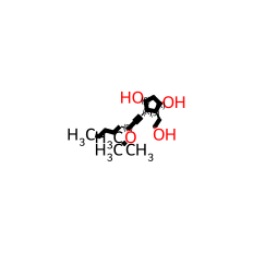 CCCCC[C@H](C#C[C@H]1[C@H](CCO)[C@H](O)C[C@@H]1O)OC(C)(C)C